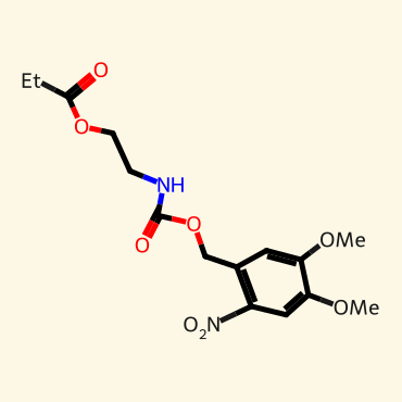 CCC(=O)OCCNC(=O)OCc1cc(OC)c(OC)cc1[N+](=O)[O-]